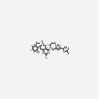 Cc1noc(-c2cc3n(n2)CCCN(c2nc(Cl)nc4c2CN(C)[C@@]2(CCc5cccc(F)c52)C4)C3)n1